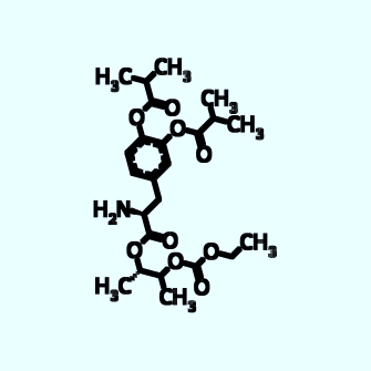 CCOC(=O)OC(C)[C@H](C)OC(=O)[C@@H](N)Cc1ccc(OC(=O)C(C)C)c(OC(=O)C(C)C)c1